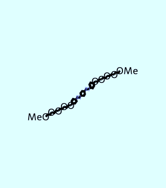 COCCOCCOCCOCCOc1ccc(/C=C/c2ccc(/C=C/c3ccc(OCCOCCOCCOCCOC)cc3)cc2)cc1